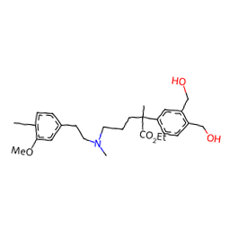 CCOC(=O)C(C)(CCCN(C)CCc1ccc(C)c(OC)c1)c1ccc(CO)c(CO)c1